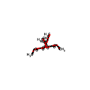 CCCCCC/C=C\COC(=O)CCCCCCCC(=O)OCC(COC(=O)CCCCCCCC(=O)OC/C=C\CCCCCC)OC(=O)CCC(CCCCCCCCCCCC)OC(=O)NCCN(C)CC